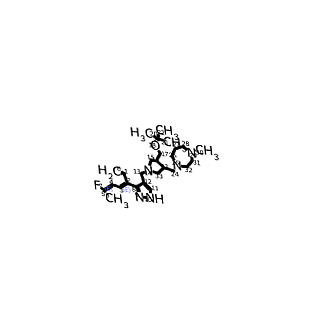 C=C/C(=C\C=C(/C)F)c1n[nH]cc1CN1CC(COC(C)(C)C)C(CN2CCCN(C)CC2)C1